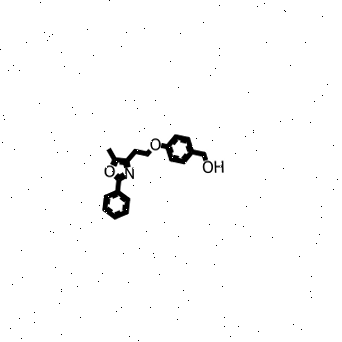 Cc1oc(-c2ccccc2)nc1CCOc1ccc(CO)cc1